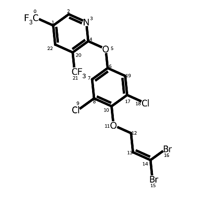 FC(F)(F)c1cnc(Oc2cc(Cl)c(OCC=C(Br)Br)c(Cl)c2)c(C(F)(F)F)c1